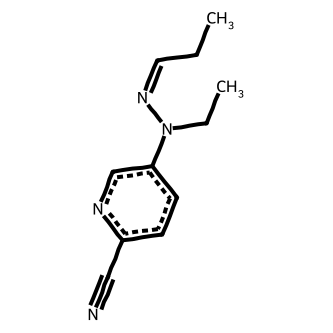 CC/C=N\N(CC)c1ccc(C#N)nc1